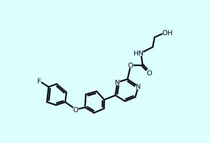 O=C(NCCO)Oc1nccc(-c2ccc(Oc3ccc(F)cc3)cc2)n1